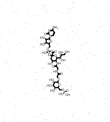 Nc1ccn(C2OC(COP(=O)(O)OC3(C=O)CC(O)C(NC(=O)CNC(=O)COC4OC(COP(=O)(O)O)[C@@H](O)[C@H](O)[C@H]4O)C([C@H](O)[C@H](O)CO)O3)C(O)C2O)c(=O)n1